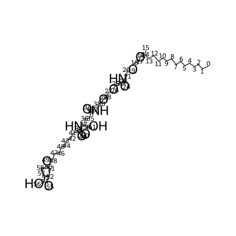 CCCCCCCCCCCCCC[C](C)OCCOCCNC(=O)COCCOCCNC(=O)CC[C@H](NC(=O)CCCCCCCCOc1ccc(C(=O)O)cc1)C(=O)O